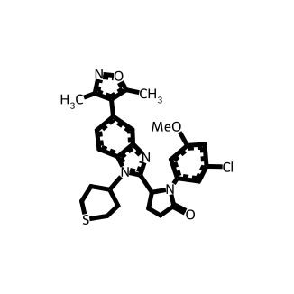 COc1cc(Cl)cc(N2C(=O)CCC2c2nc3cc(-c4c(C)noc4C)ccc3n2C2CCSCC2)c1